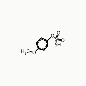 COc1ccc(OS(=O)(=O)S)cc1